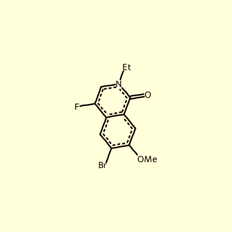 CCn1cc(F)c2cc(Br)c(OC)cc2c1=O